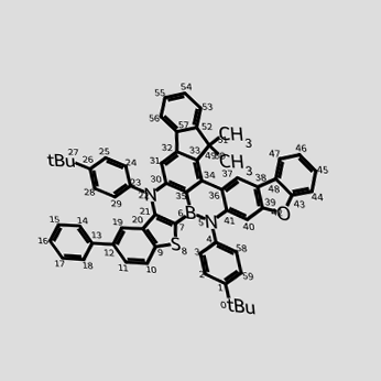 CC(C)(C)c1ccc(N2B3c4sc5ccc(-c6ccccc6)cc5c4N(c4ccc(C(C)(C)C)cc4)c4cc5c(c(c43)-c3cc4c(cc32)oc2ccccc24)C(C)(C)c2ccccc2-5)cc1